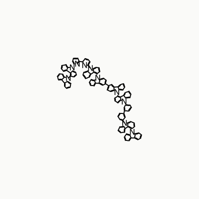 c1cc(-c2cccc(-n3c4ccccc4c4c(-n5c6ccccc6c6cc(-c7ccc8c(c7)c7ccccc7n8-c7cccc8c7c7ccccc7n8-c7cccc(-c8cccc(-n9c%10ccccc%10c%10c(-n%11c%12ccccc%12c%12ccccc%12%11)cccc%109)n8)n7)ccc65)cccc43)c2)cc(-n2c3ccccc3c3c(-n4c5ccccc5c5ccccc54)cccc32)c1